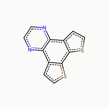 c1cnc2c3ccsc3c3sccc3c2n1